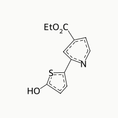 CCOC(=O)c1ccnc(-c2ccc(O)s2)c1